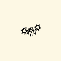 O=C(Nc1ccccc1)NS(=O)(=O)c1ccccc1